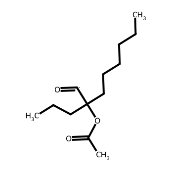 CCCCCCC([C]=O)(CCC)OC(C)=O